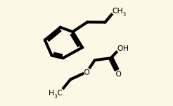 CCCc1ccccc1.CCOCC(=O)O